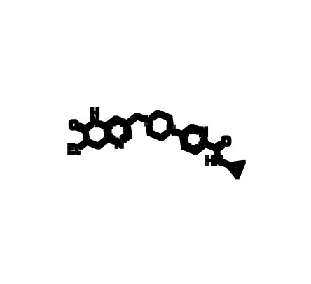 CCC1Cc2ncc(CN3CCN(c4ccc(C(=O)NC5CC5)nc4)CC3)cc2NC1=O